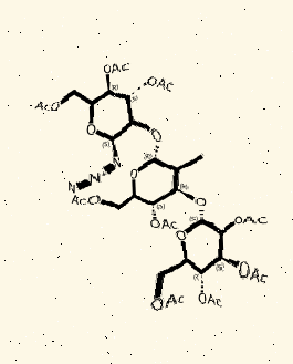 CC(=O)OCC1O[C@H](OC2[C@@H](OC(C)=O)[C@H](OC(C)=O)C(COC(C)=O)O[C@@H]2N=[N+]=[N-])C(C)[C@@H](O[C@H]2OC(COC(C)=O)[C@@H](OC(C)=O)[C@H](OC(C)=O)C2OC(C)=O)[C@@H]1OC(C)=O